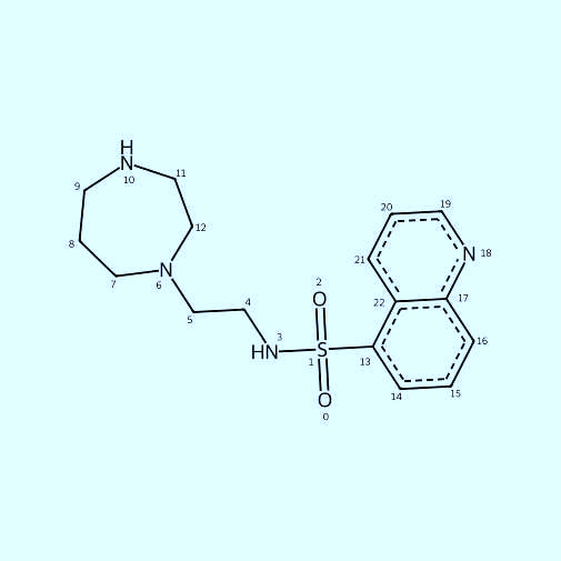 O=S(=O)(NCCN1CCCNCC1)c1cccc2ncccc12